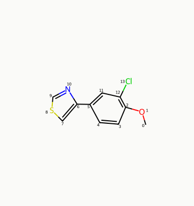 COc1ccc(-c2cscn2)cc1Cl